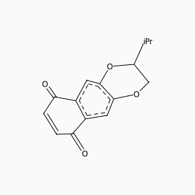 CC(C)C1COc2cc3c(cc2O1)C(=O)C=CC3=O